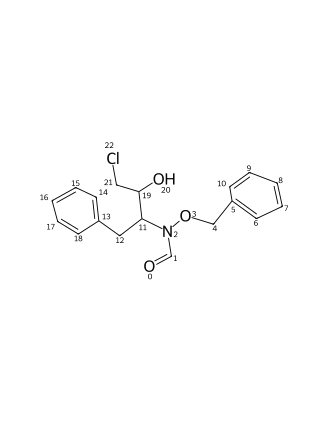 O=CN(OCc1ccccc1)C(Cc1ccccc1)C(O)CCl